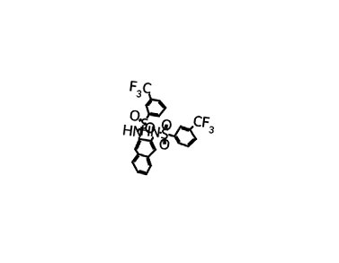 O=S(=O)(Nc1cc2ccccc2cc1NS(=O)(=O)c1cccc(C(F)(F)F)c1)c1cccc(C(F)(F)F)c1